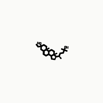 CC[C@]1(O)CC[C@@]2(C)C(=CCC3C2CC[C@@]2(C)C3CC[C@@H]2[C@H](C)CCC(C)(C)O)C1